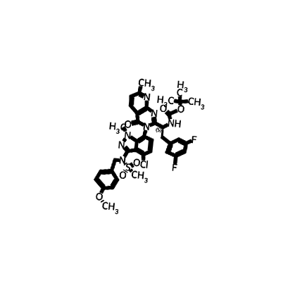 COc1ccc(CN(c2nn(C)c3c(-n4c([C@H](Cc5cc(F)cc(F)c5)NC(=O)OC(C)(C)C)nc5nc(C)ccc5c4=O)ccc(Cl)c23)S(C)(=O)=O)cc1